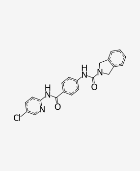 O=C(Nc1ccc(Cl)cn1)c1ccc(NC(=O)N2Cc3ccccc3C2)cc1